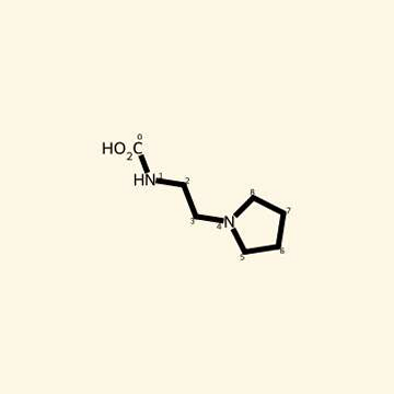 O=C(O)NCCN1CCCC1